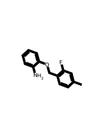 Cc1ccc(COc2ccccc2N)c(F)c1